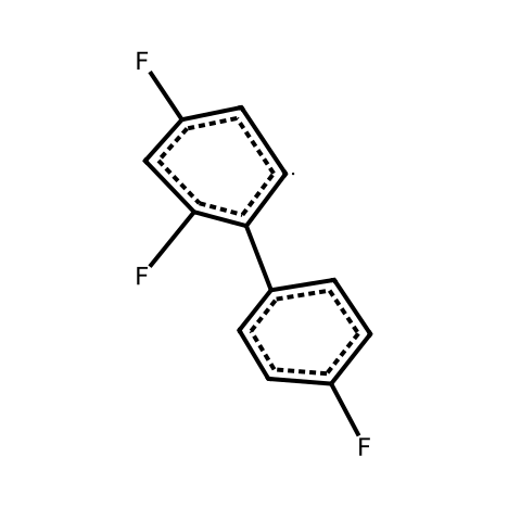 Fc1ccc(-c2[c]cc(F)cc2F)cc1